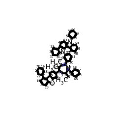 CCC1/C=C(/c2ccc3c(c2)oc2cccc(-c4ccccc4)c23)C(C)/C(C)=C(c2cccc(-n3c4ccccc4c4ccc5c(c6ccccc6n5-c5ccccc5)c43)c2)\N=C/1c1ccccc1